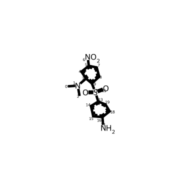 CN(C)c1cc([N+](=O)[O-])ccc1S(=O)(=O)c1ccc(N)cc1